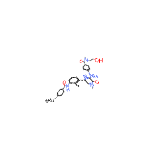 Cc1c(NC(=O)c2ccc(C(C)(C)C)cc2)cccc1-c1cn(C)c(=O)c(Nc2ccc(C(=O)N(C)CCO)cc2)n1